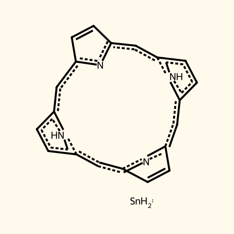 C1=Cc2cc3ccc(cc4nc(cc5ccc(cc1n2)[nH]5)C=C4)[nH]3.[SnH2]